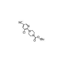 CC(C)(C)OC(=O)N1CCN(c2ncc(C#N)cc2Cl)CC1